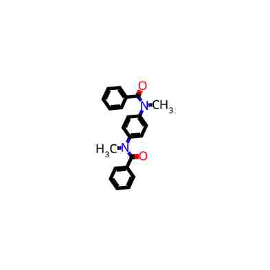 CN(C(=O)c1ccccc1)c1ccc(N(C)C(=O)c2ccccc2)cc1